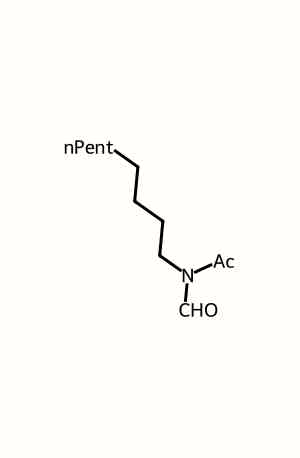 CCCCCCCCCN(C=O)C(C)=O